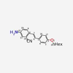 CCCCCCOc1ccc(C=Cc2ccc(N)cc2C#N)cc1